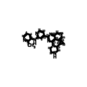 Cc1ncccc1Nc1cc(-c2nc(N3CCNCC3C3CC3)c3ccncc3n2)ccn1